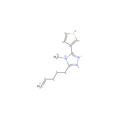 C=CCCCc1nnc(-c2ccsc2)n1C